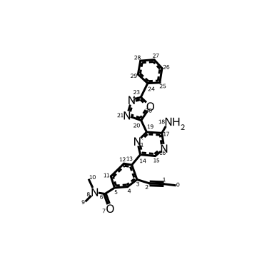 CC#Cc1cc(C(=O)N(C)C)ccc1-c1cnc(N)c(-c2nnc(-c3ccccc3)o2)n1